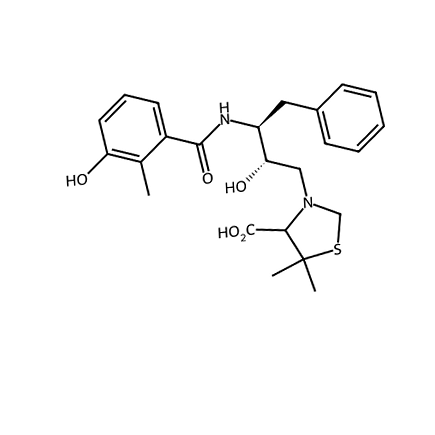 Cc1c(O)cccc1C(=O)N[C@@H](Cc1ccccc1)[C@@H](O)CN1CSC(C)(C)C1C(=O)O